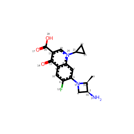 C[C@H]1[C@@H](N)CN1c1cc2c(cc1F)c(=O)c(C(=O)O)cn2C1CC1